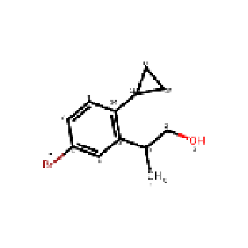 C[C](CO)c1cc(Br)ccc1C1CC1